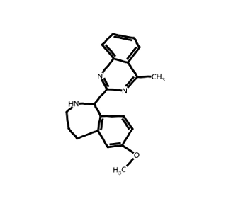 COc1ccc2c(c1)CCCNC2c1nc(C)c2ccccc2n1